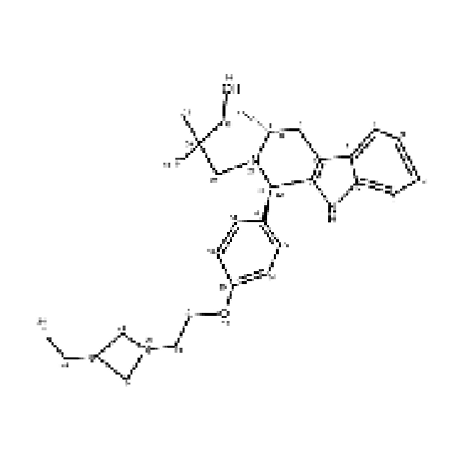 C[C@@H]1Cc2c([nH]c3ccccc23)[C@@H](c2ccc(OCCN3CC(CF)C3)cc2)N1CC(C)(F)CO